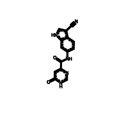 N#Cc1c[nH]c2cc(NC(=O)c3cc(=O)[nH]cn3)ccc12